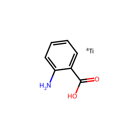 Nc1ccccc1C(=O)O.[4Ti]